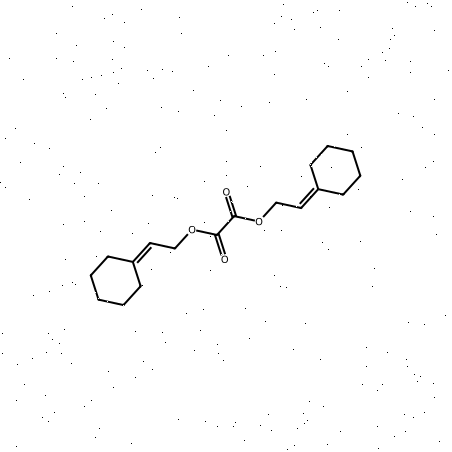 O=C(OCC=C1CCCCC1)C(=O)OCC=C1CCCCC1